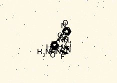 NC(=O)[C@H]1[C@@H]2C[C@@H](CNS(=O)(=O)c3cccc(N=O)c3)[C@@H](C2)[C@H]1Nc1nc(Cl)ncc1F